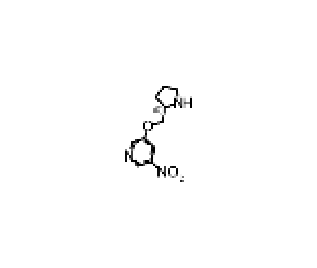 O=[N+]([O-])c1cncc(OC[C@H]2CCCN2)c1